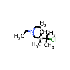 CCN(CC)C[Si](C)(C)C(C)(C)Cl